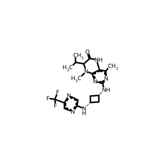 Cc1nc(N[C@H]2C[C@@H](Nc3cnc(C(F)(F)F)cn3)C2)nc2c1NC(=O)C(C(C)C)N2C